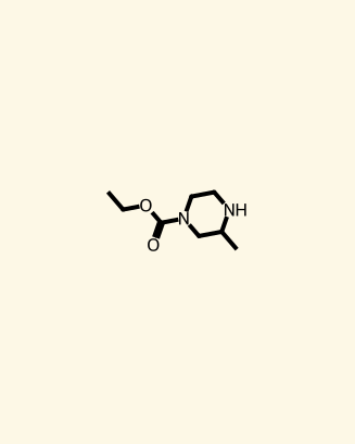 CCOC(=O)N1CCNC(C)C1